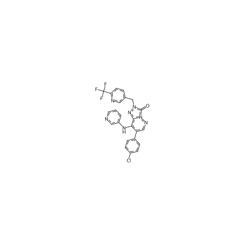 O=c1n(Cc2ccc(C(F)(F)F)nc2)nc2c(Nc3cccnc3)c(-c3ccc(Cl)cc3)cnn12